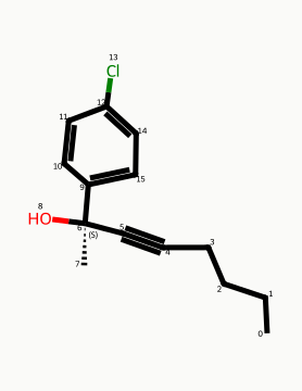 CCCCC#C[C@@](C)(O)c1ccc(Cl)cc1